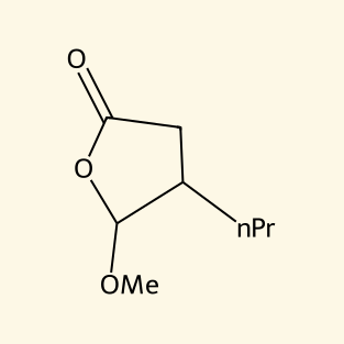 CCCC1CC(=O)OC1OC